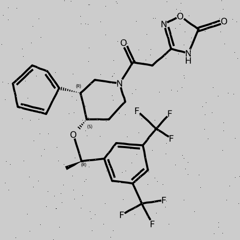 C[C@@H](O[C@H]1CCN(C(=O)Cc2noc(=O)[nH]2)C[C@H]1c1ccccc1)c1cc(C(F)(F)F)cc(C(F)(F)F)c1